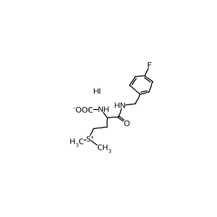 C[S+](C)CCC(NC(=O)[O-])C(=O)NCc1ccc(F)cc1.I